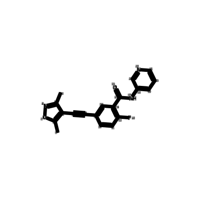 Cc1noc(C)c1C#Cc1ccc(F)c(C(=O)Nc2cccnc2)c1